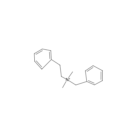 C[N+](C)(CCc1ccccc1)Cc1ccccc1